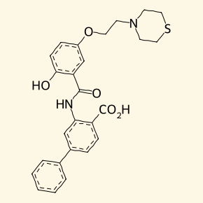 O=C(Nc1cc(-c2ccccc2)ccc1C(=O)O)c1cc(OCCN2CCSCC2)ccc1O